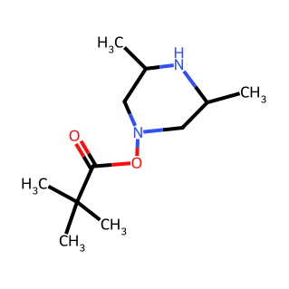 CC1CN(OC(=O)C(C)(C)C)CC(C)N1